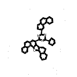 c1ccc(-c2nc(-c3ccc4ccc5ccccc5c4c3)nc(-c3cc4ccc5ccccc5c4c4oc5c6ccccc6ccc5c34)n2)cc1